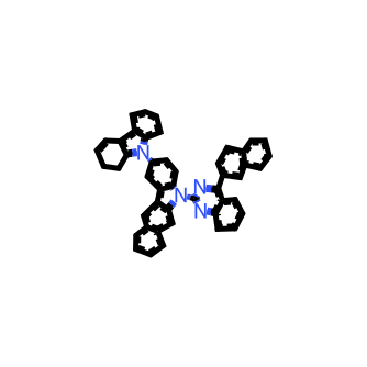 C1=Cc2c(n(-c3ccc4c(c3)c3cc5ccccc5cc3n4-c3nc(-c4ccc5ccccc5c4)c4ccccc4n3)c3ccccc23)CC1